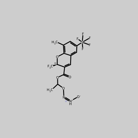 Cc1cc(S(F)(F)(F)(F)F)cc2c1O[C@H](C(F)(F)F)C(C(=O)OC(C)O/N=[NH+]\[O-])=C2